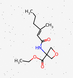 CCC/C(C)=C/C(=O)NC1(C(=O)OCC)COC1